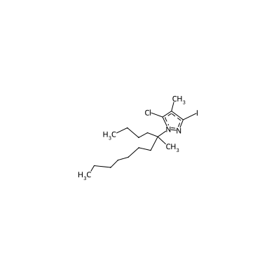 CCCCCCCC(C)(CCCC)n1nc(I)c(C)c1Cl